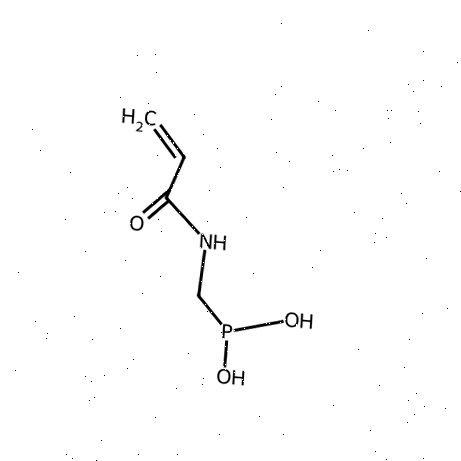 C=CC(=O)NCP(O)O